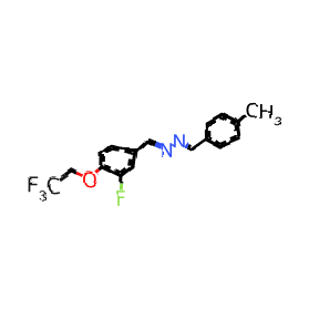 Cc1ccc(/C=N/N=C/c2ccc(OCC(F)(F)F)c(F)c2)cc1